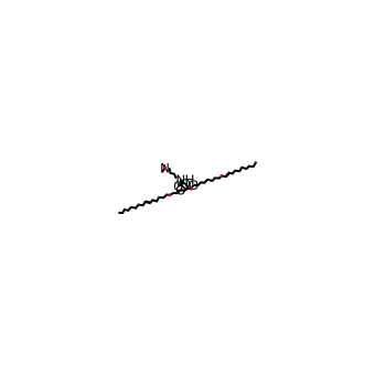 CCCCCCCCC=CCCCCCCCCOCC(COCCCCCCCCC=CCCCCCCCC)OC(=O)NCCCCN(C)C